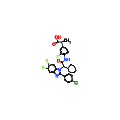 CC(C(=O)O)c1ccc(NC(=O)C(C2CCCCC2)n2c(-c3ccc(Cl)cc3)nc3cc(F)c(F)cc32)c(F)c1